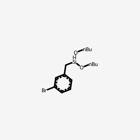 CCCCO[SiH](Cc1cccc(Br)c1)OCCCC